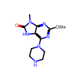 COc1nc(N2CCNCC2)c2[nH]c(=O)n(C)c2n1